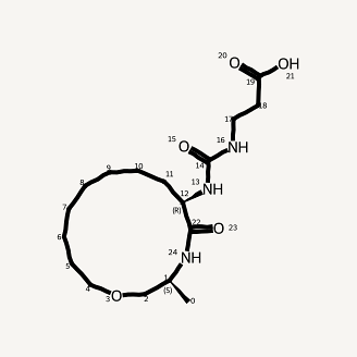 C[C@H]1COCCCCCCCC[C@@H](NC(=O)NCCC(=O)O)C(=O)N1